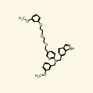 COc1cccc(CN(Cc2ccc3cn[nH]c3c2)c2ccc(COCCOCCOc3cccc(OC)c3)cn2)c1